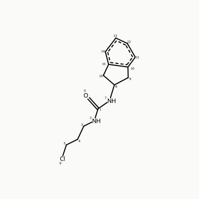 O=C(NCCCCl)NC1Cc2ccccc2C1